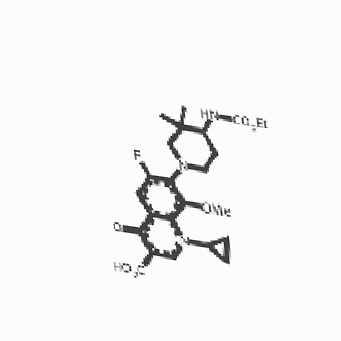 CCOC(=O)NC1CCN(c2c(F)cc3c(=O)c(C(=O)O)cn(C4CC4)c3c2OC)CC1(C)C